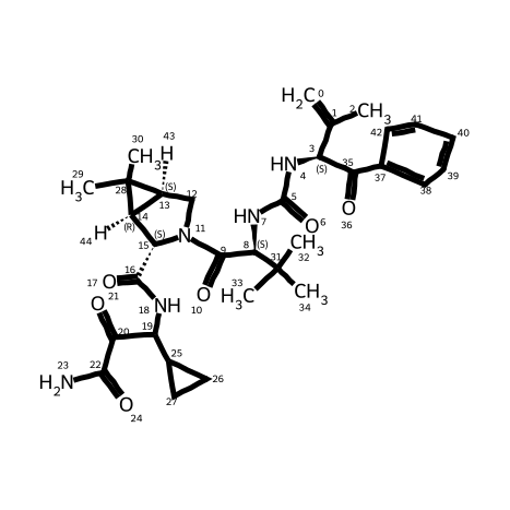 C=C(C)[C@H](NC(=O)N[C@H](C(=O)N1C[C@H]2[C@@H]([C@H]1C(=O)NC(C(=O)C(N)=O)C1CC1)C2(C)C)C(C)(C)C)C(=O)c1ccccc1